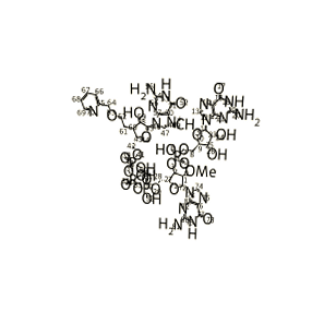 CO[C@@H]1[C@H](OP(=O)(O)OC[C@H]2O[C@@H](n3cnc4c(=O)[nH]c(N)nc43)[C@H](O)[C@@H]2O)[C@@H](COP(=O)(O)OP(=O)(O)OP(=O)(O)OC[C@H]2OC(n3c[n+](C)c4c(=O)[nH]c(N)nc43)[C@H](O)[C@@H]2CCOCc2ccccn2)O[C@H]1n1cnc2c(=O)[nH]c(N)nc21